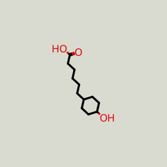 O=C(O)CCCCCC1CCC(O)CC1